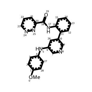 COc1ccc(Nc2cncc(-c3ccccc3NC(=O)c3cccnn3)c2)cc1